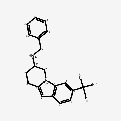 FC(F)(F)c1ccc2cc3n(c2c1)CC(NCc1ccccc1)CC3